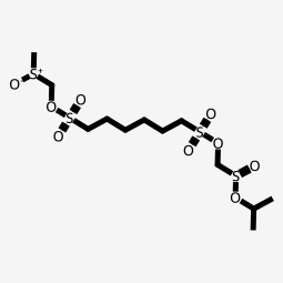 CC(C)OS(=O)COS(=O)(=O)CCCCCCS(=O)(=O)OC[S+](C)[O-]